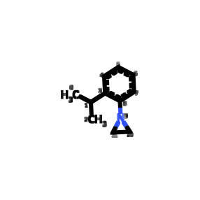 CC(C)c1ccccc1N1CC1